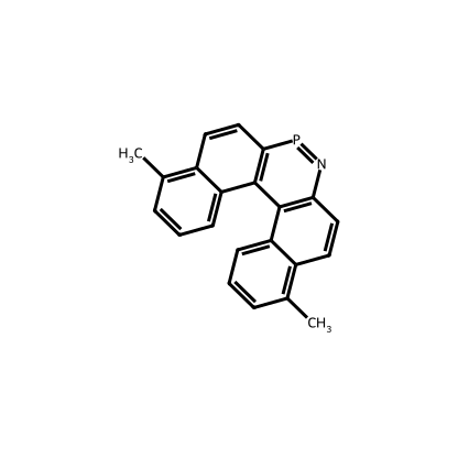 Cc1cccc2c1ccc1npc3ccc4c(C)cccc4c3c12